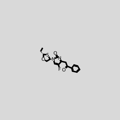 CC[C@H]1OC[C@@H](n2cc(F)c(CC(=O)c3ccccc3)nc2=O)S1